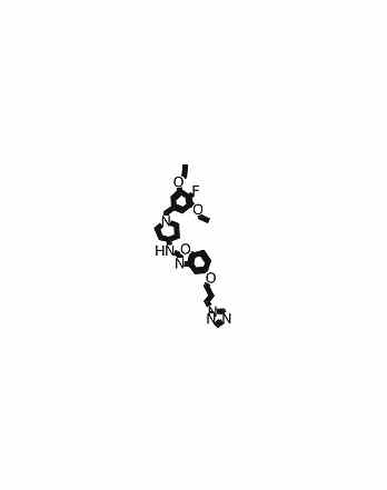 CCOc1cc(CN2CCC(Nc3nc4cc(OCCCn5cncn5)ccc4o3)CC2)cc(OCC)c1F